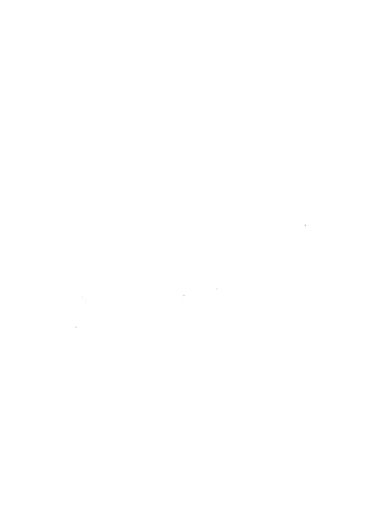 COc1ccc(-c2csnc2-c2cc(OC)c(OC)c(OC)c2)cc1NC(=O)[C@H](N)Cc1ccc(O)cc1